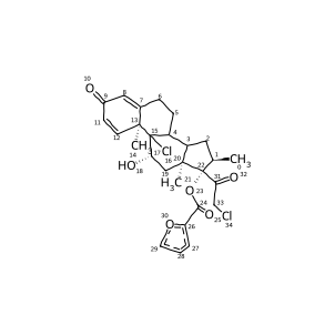 C[C@@H]1CC2C3CCC4=CC(=O)C=C[C@]4(C)C3(Cl)[C@@H](O)C[C@]2(C)[C@]1(OC(=O)c1ccco1)C(=O)CCl